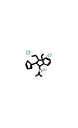 CCC1C(C2=CC=CC2)[CH]([Zr+2]=[C](C)C)C2C=CC=CC21CC.[Cl-].[Cl-]